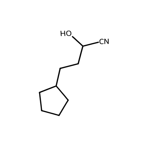 N#CC(O)CCC1CCCC1